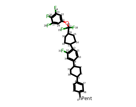 CCCCCc1ccc(C2CCC(c3ccc(C4CCC(C(F)(F)Oc5cc(F)c(F)c(F)c5)CC4)c(F)c3)CC2)cc1